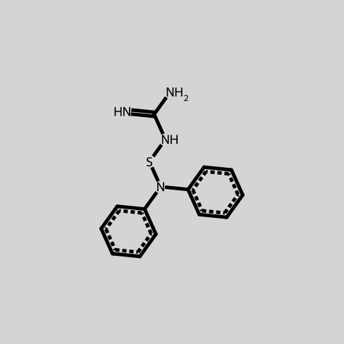 N=C(N)NSN(c1ccccc1)c1ccccc1